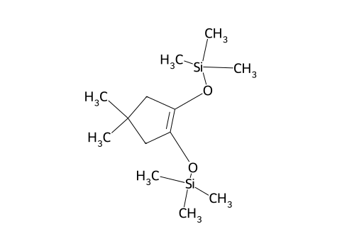 CC1(C)CC(O[Si](C)(C)C)=C(O[Si](C)(C)C)C1